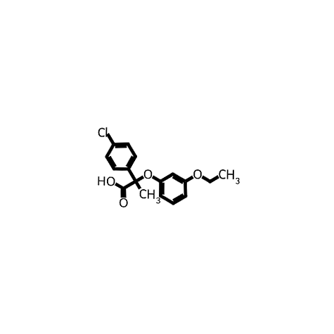 CCOc1cccc(OC(C)(C(=O)O)c2ccc(Cl)cc2)c1